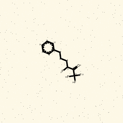 O=C(C(F)CCCc1ccccc1)C(F)(F)F